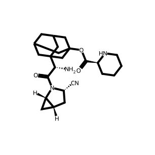 N#C[C@@H]1C[C@@H]2C[C@@H]2N1C(=O)[C@@H](N)C12CC3CC(CC(OC(=O)[C@@H]4CCCCN4)(C3)C1)C2